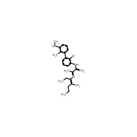 C=C(Nc1cccc(-c2cccc(NC)c2C)c1Cl)/C(C)=N/C(CC)=C(\C)CCC